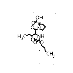 CCCCOC(=O)N[C@H](C(=O)N1CCC[C@H]1C(=O)O)C(C)CC